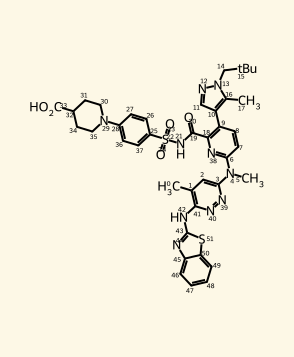 Cc1cc(N(C)c2ccc(-c3cnn(CC(C)(C)C)c3C)c(C(=O)NS(=O)(=O)c3ccc(N4CCC(C(=O)O)CC4)cc3)n2)nnc1Nc1nc2ccccc2s1